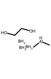 B.B.B.OCCO.[CH3][AlH][CH3]